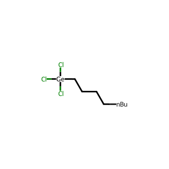 CCCCCCC[CH2][Ge]([Cl])([Cl])[Cl]